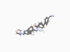 CN(Cc1cccc2cc(CN3CCOCC3)ccc12)C(=O)c1ccc(-c2ccc(C#N)cc2)cc1